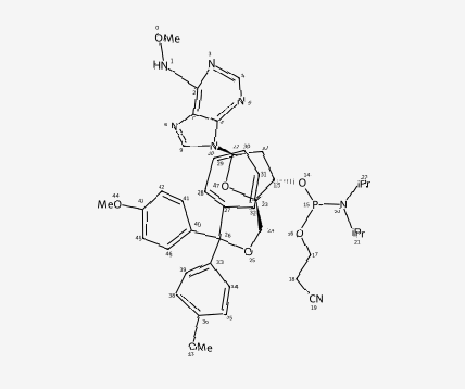 CONc1ncnc2c1ncn2[C@H]1C[C@H](OP(OCCC#N)N(C(C)C)C(C)C)[C@@H](COC(c2ccccc2)(c2ccc(OC)cc2)c2ccc(OC)cc2)O1